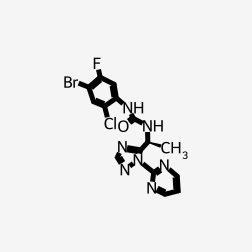 C[C@H](NC(=O)Nc1cc(F)c(Br)cc1Cl)c1ncnn1-c1ncccn1